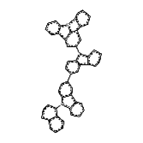 c1ccc2c(-n3c4ccccc4c4cc(-c5ccc6c(c5)c5ccccc5n6-c5cc6c7ccccc7n7c8ccccc8c(c5)c67)ccc43)cccc2c1